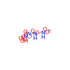 CC(C)(C)OC(=O)NCCONC(=O)C1CCC2CN1C(=O)N2OS(=O)(=O)O